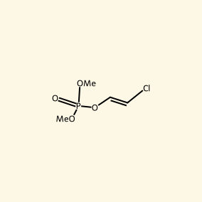 COP(=O)(OC)O/C=C/Cl